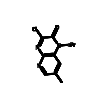 CCCn1c(=O)c(Cl)nc2ncc(C)cc21